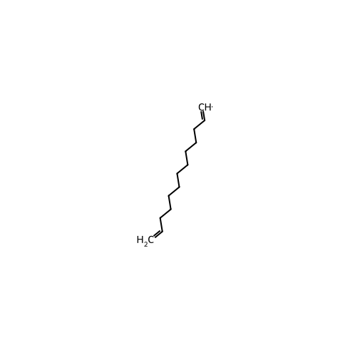 [CH]=CCCCCCCCCCC=C